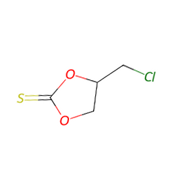 S=C1OCC(CCl)O1